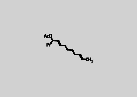 CC=CCCCCC=CC(OC(C)=O)C(C)C